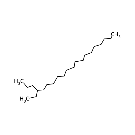 CCCCCCCCCCCCCCCCC(CC)CCC